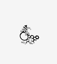 CC(C)(C)CN(C(=O)O)[C@H]1CCCCC/C=C\[C@@H]2C[C@@]2(C(=O)NS(=O)(=O)C2(C)CC2)NC(=O)[C@@H]2C[C@]3(CCc4c(c(C(F)F)nc5ccccc45)O3)CN2C1=O